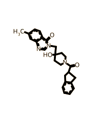 Cc1ccc2c(=O)n(CC3(O)CCN(C(=O)C4Cc5ccccc5C4)CC3)cnc2c1